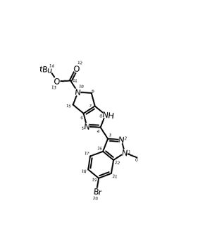 Cn1nc(-c2nc3c([nH]2)CN(C(=O)OC(C)(C)C)C3)c2ccc(Br)cc21